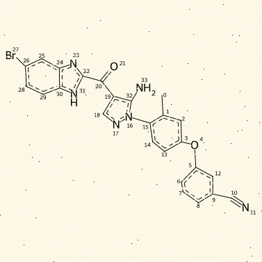 Cc1cc(Oc2cccc(C#N)c2)ccc1-n1ncc(C(=O)c2nc3cc(Br)ccc3[nH]2)c1N